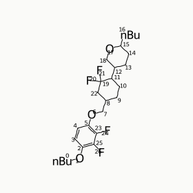 CCCCOc1ccc(OCC2CCC(C3CCC(CCCC)OC3)C(F)(F)C2)c(F)c1F